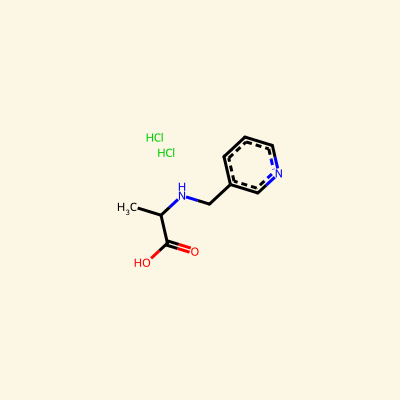 CC(NCc1cccnc1)C(=O)O.Cl.Cl